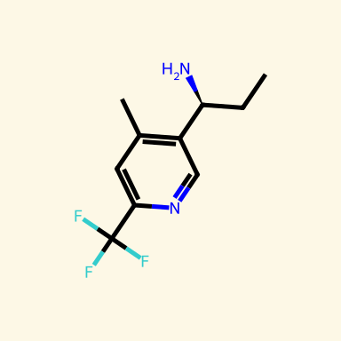 CC[C@H](N)c1cnc(C(F)(F)F)cc1C